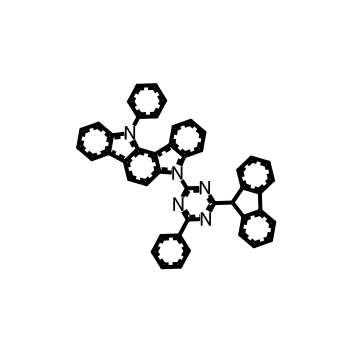 c1ccc(-c2nc(C3c4ccccc4-c4ccccc43)nc(-n3c4ccccc4c4c3ccc3c5ccccc5n(-c5ccccc5)c34)n2)cc1